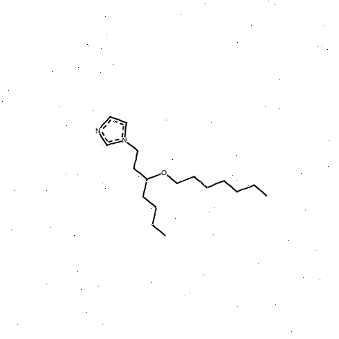 CCCCCCCOC(CCCC)CCn1ccnc1